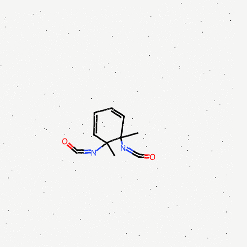 CC1(N=C=O)C=CC=CC1(C)N=C=O